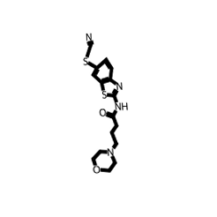 N#CSc1ccc2nc(NC(=O)CCCN3CCOCC3)sc2c1